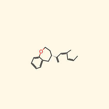 C=C(/C=C(C)\C=C/C)[C@H]1CCOc2ccccc2C1